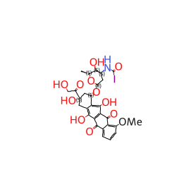 COc1cccc2c1C(=O)c1c(O)c3c(c(O)c1C2=O)C[C@@](O)(C(=O)CO)C[C@@H]3O[C@H]1C[C@H](NC(=O)I)[C@H](O)[C@H](C)O1